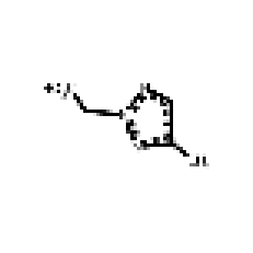 Cc1cnn(CC(=O)O)n1